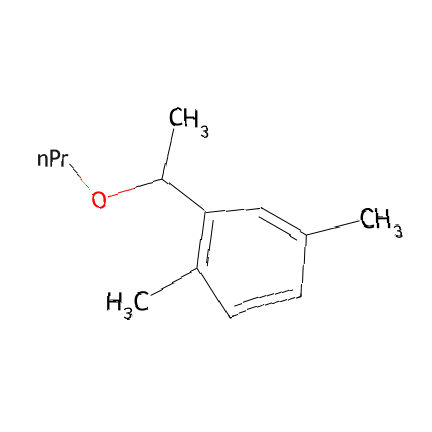 CCCOC(C)c1cc(C)ccc1C